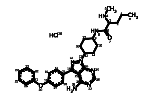 CCCC(NC)C(=O)NC1CCC(n2nc(-c3ccc(Oc4ccccc4)cc3)c3c(N)ncnc32)CC1.Cl